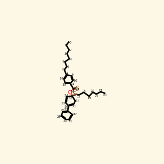 CCCCCCCCc1ccc(C(=S)OC2(SCCCCCCC)C=CC(c3ccccc3)=CC2)cc1